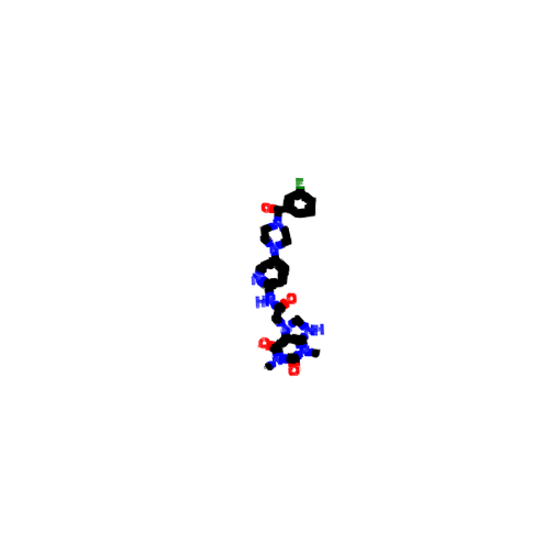 Cn1c2c(c(=O)n(C)c1=O)N(CC(=O)Nc1ccc(N3CCN(C(=O)c4cccc(F)c4)CC3)cn1)CN2